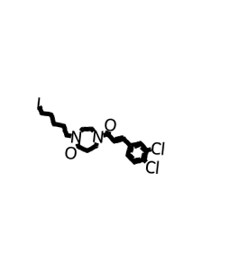 O=C(C=Cc1ccc(Cl)c(Cl)c1)N1CCC(=O)N(CCCCCI)CC1